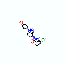 COc1ccc(-n2ncc3c2CCCC3NC(=O)c2cccc(Cl)c2)cc1